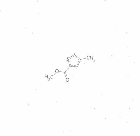 COC(=O)c1cc(C)[c]s1